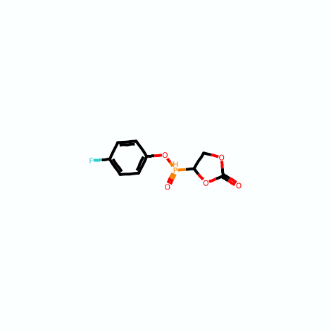 O=C1OCC([PH](=O)Oc2ccc(F)cc2)O1